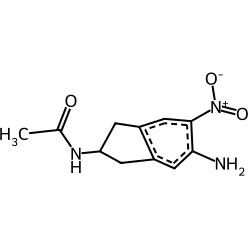 CC(=O)NC1Cc2cc(N)c([N+](=O)[O-])cc2C1